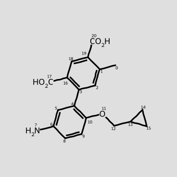 Cc1cc(-c2cc(N)ccc2OCC2CC2)c(C(=O)O)cc1C(=O)O